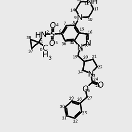 CC1(NS(=O)(=O)c2cc(N3CCNCC3)c3cnn(CC4CCN(C(=O)OCc5ccccc5)C4)c3c2)CC1